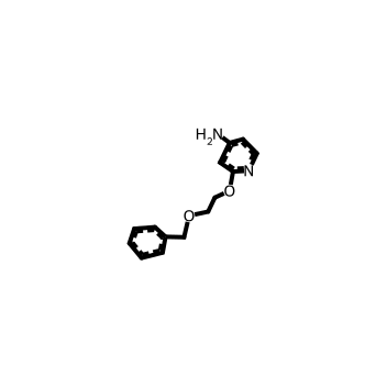 Nc1ccnc(OCCOCc2ccccc2)c1